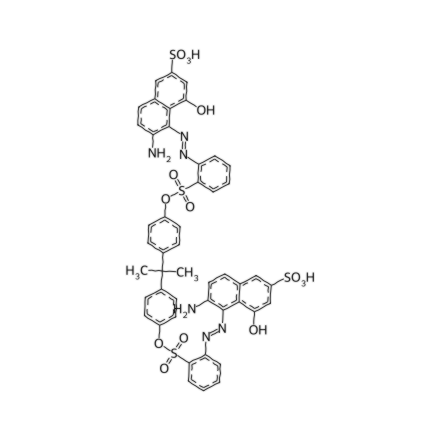 CC(C)(c1ccc(OS(=O)(=O)c2ccccc2N=Nc2c(N)ccc3cc(S(=O)(=O)O)cc(O)c23)cc1)c1ccc(OS(=O)(=O)c2ccccc2/N=N/c2c(N)ccc3cc(S(=O)(=O)O)cc(O)c23)cc1